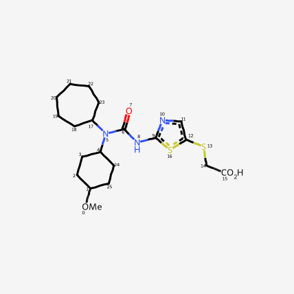 COC1CCC(N(C(=O)Nc2ncc(SCC(=O)O)s2)C2CCCCCC2)CC1